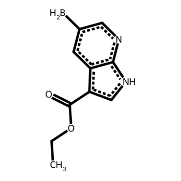 Bc1cnc2[nH]cc(C(=O)OCC)c2c1